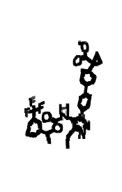 CCc1nnn(-c2ccc(-c3ccc(C4(C(=O)OC)CC4)cc3)cc2)c1NC(=O)OC(C)c1cccc(C(F)(F)F)c1